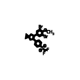 COc1c(Br)cc(C2=C(c3ccc(S(=O)(=O)C(F)F)cc3)CC3(CC3)C2)cc1Br